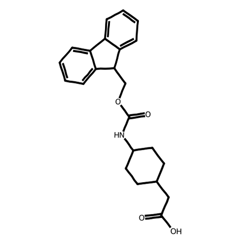 O=C(O)CC1CCC(NC(=O)OCC2c3ccccc3-c3ccccc32)CC1